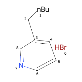 Br.CCCCCc1cccnc1